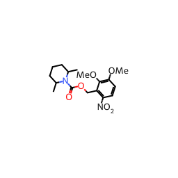 COc1ccc([N+](=O)[O-])c(COC(=O)N2C(C)CCCC2C)c1OC